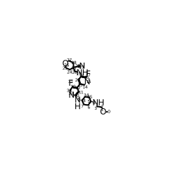 COCCN[C@H]1CC[C@H](Nc2cc(-c3cnc(F)c(NCC4(C#N)CCOCC4)c3)c(F)cn2)CC1